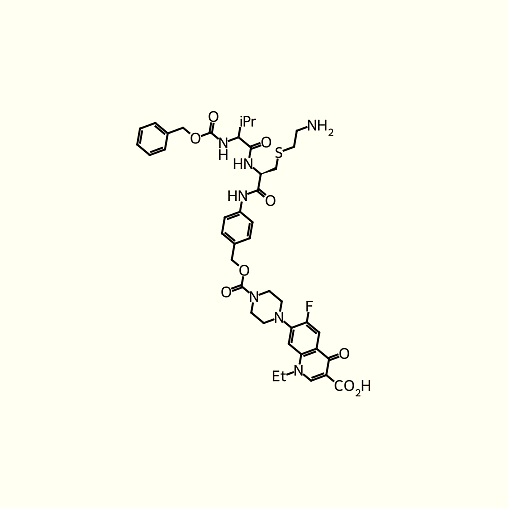 CCn1cc(C(=O)O)c(=O)c2cc(F)c(N3CCN(C(=O)OCc4ccc(NC(=O)[C@H](CSCCN)NC(=O)C(NC(=O)OCc5ccccc5)C(C)C)cc4)CC3)cc21